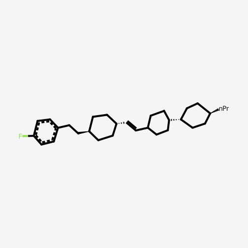 CCC[C@H]1CC[C@H](C2CCC(/C=C/[C@H]3CC[C@H](CCc4ccc(F)cc4)CC3)CC2)CC1